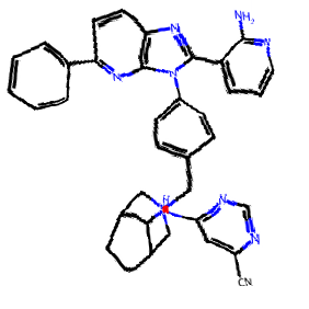 N#Cc1cc(NC2C3CCC2CN(Cc2ccc(-n4c(-c5cccnc5N)nc5ccc(-c6ccccc6)nc54)cc2)C3)ncn1